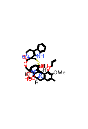 C=CCOc1c(OC)c(C)cc2c1[C@@H]1C3[C@@H]4SC[C@]5(NCCc6c5[nH]c5ccccc65)C(=O)OC[C@@H](c5c6c(c(C)c(O)c54)OCO6)N3[C@@H](O)[C@H](C2)N1C